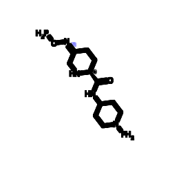 O=C(NC1CCN(P)CC1)[C@@H]1CC/C(=N/OP)CN1